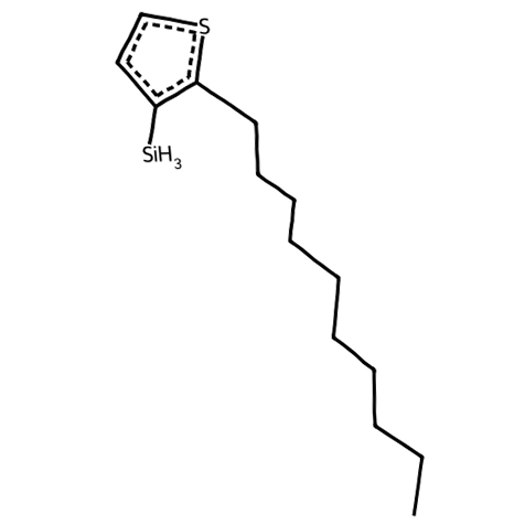 CCCCCCCCCCc1sccc1[SiH3]